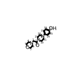 O=C(CN1CCOCC1)N1CCN(c2ccc(O)cc2)CC1